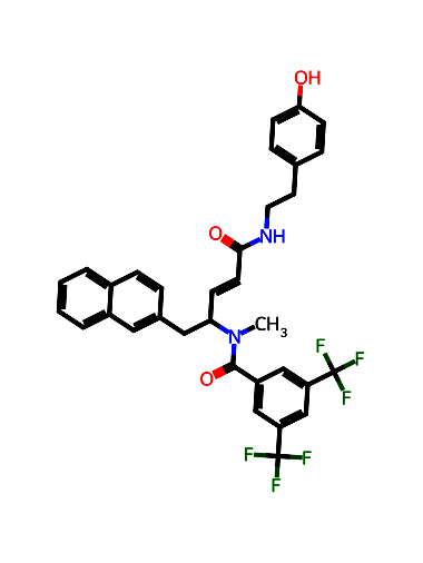 CN(C(=O)c1cc(C(F)(F)F)cc(C(F)(F)F)c1)C(C=CC(=O)NCCc1ccc(O)cc1)Cc1ccc2ccccc2c1